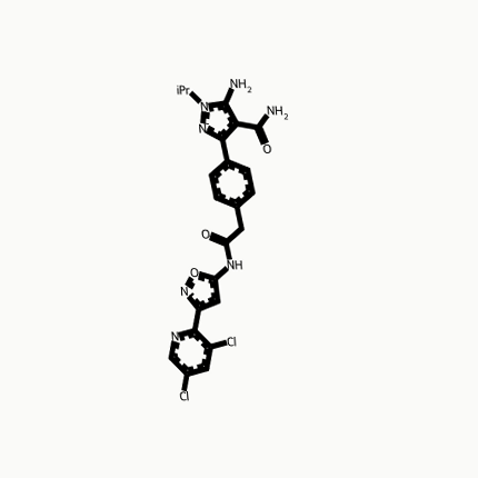 CC(C)n1nc(-c2ccc(CC(=O)Nc3cc(-c4ncc(Cl)cc4Cl)no3)cc2)c(C(N)=O)c1N